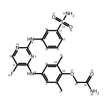 Cc1cc(Nc2nc(Nc3cccc(S(N)(=O)=O)c3)ncc2F)cc(C)c1OCC(N)=O